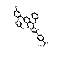 O=C(O)Nc1ccc(-c2cnc([C@H](Cc3ccccc3)n3ccc(-c4cc(Cl)ccc4-n4cc(F)cn4)cc3=O)[nH]2)cc1